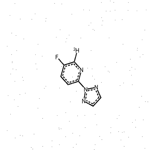 [2H]c1nc(-n2nccn2)ccc1F